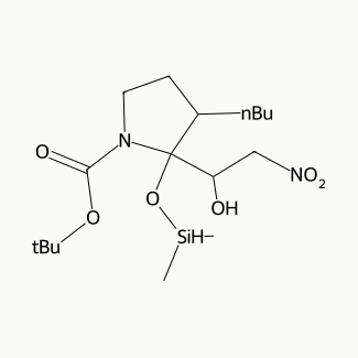 CCCCC1CCN(C(=O)OC(C)(C)C)C1(O[SiH](C)C)C(O)C[N+](=O)[O-]